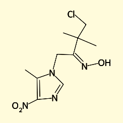 Cc1c([N+](=O)[O-])ncn1CC(=NO)C(C)(C)CCl